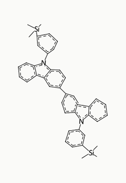 C[Si](C)(C)c1cccc(-n2c3ccccc3c3cc(-c4ccc5c(c4)c4ccccc4n5-c4cccc([Si](C)(C)C)c4)ccc32)c1